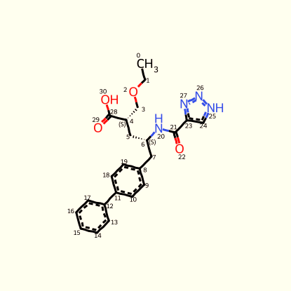 CCOC[C@H](C[C@@H](Cc1ccc(-c2ccccc2)cc1)NC(=O)c1c[nH]nn1)C(=O)O